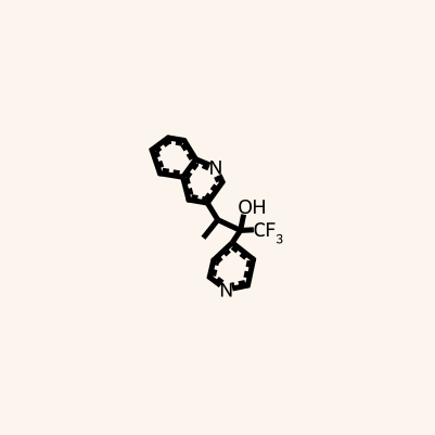 CC(c1cnc2ccccc2c1)C(O)(c1ccncc1)C(F)(F)F